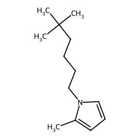 Cc1cccn1CCCCC(C)(C)C